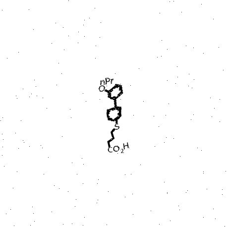 CCCOc1cccc(-c2ccc(SCCCC(=O)O)cc2)c1